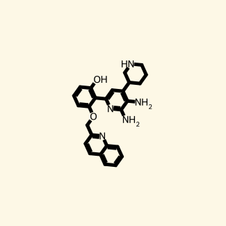 Nc1nc(-c2c(O)cccc2OCc2ccc3ccccc3n2)cc(C2CCCNC2)c1N